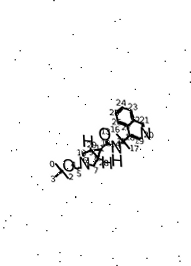 CC(C)(C)OCN1C[C@@H]2[C@H](C1)[C@H]2C(=O)NC(C)(C)c1cncc2ccccc12